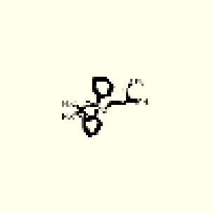 C=C(CCO[Si](OC(C)(C)C)(c1ccccc1)c1ccccc1)OC